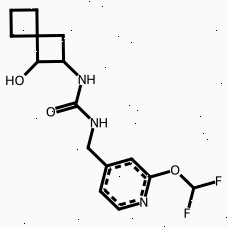 O=C(NCc1ccnc(OC(F)F)c1)NC1CC2(CCC2)C1O